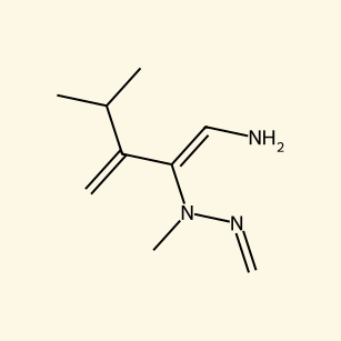 C=NN(C)/C(=C\N)C(=C)C(C)C